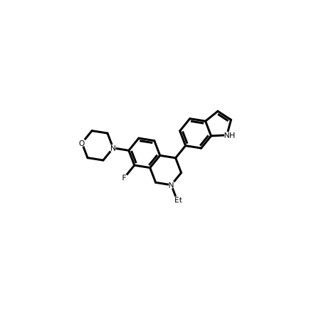 CCN1Cc2c(ccc(N3CCOCC3)c2F)C(c2ccc3cc[nH]c3c2)C1